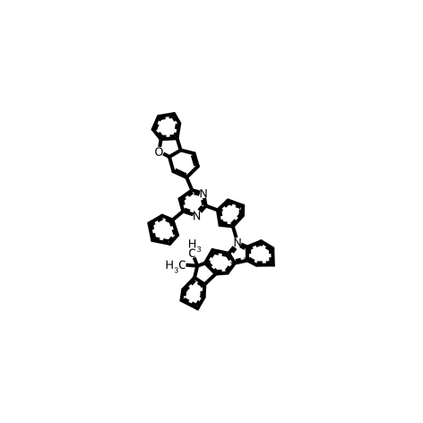 CC1(C)c2ccccc2-c2cc3c4ccccc4n(-c4cccc(-c5nc(C6=CC7Oc8ccccc8C7C=C6)cc(-c6ccccc6)n5)c4)c3cc21